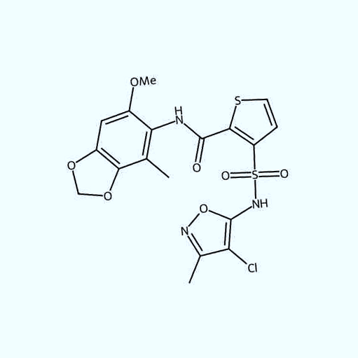 COc1cc2c(c(C)c1NC(=O)c1sccc1S(=O)(=O)Nc1onc(C)c1Cl)OCO2